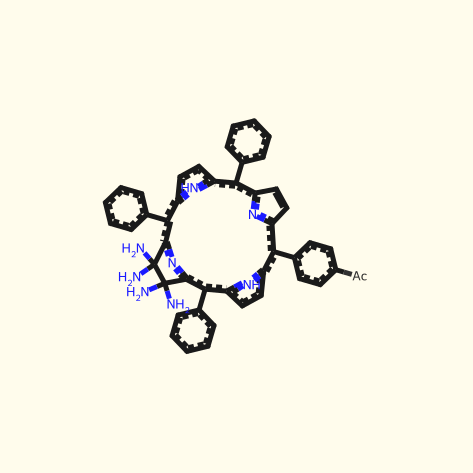 CC(=O)c1ccc(-c2c3nc(c(-c4ccccc4)c4ccc([nH]4)c(-c4ccccc4)c4nc(c(-c5ccccc5)c5ccc2[nH]5)C(N)(N)C4(N)N)C=C3)cc1